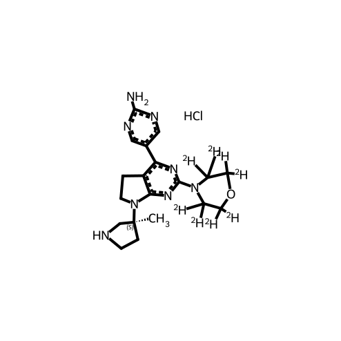 Cl.[2H]C1([2H])OC([2H])([2H])C([2H])([2H])N(c2nc(-c3cnc(N)nc3)c3c(n2)N([C@@]2(C)CCNC2)CC3)C1([2H])[2H]